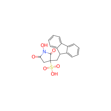 O=C1CC(CC2c3ccccc3-c3ccccc32)(S(=O)(=O)O)C(=O)N1O